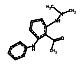 CC(=O)c1c(Nc2ccccc2)cccc1NN(C)C